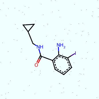 Nc1c(I)cccc1C(=O)NCC1CC1